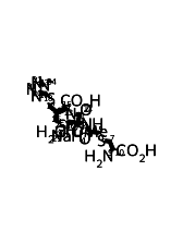 CO[C@@]1(NC(=O)CSC[C@@H](N)C(=O)O)C(=O)N2C(C(=O)O)=C(CSc3nnnn3C)CS[C@@H]21.O.[NaH]